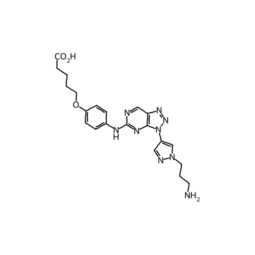 NCCCn1cc(-n2nnc3cnc(Nc4ccc(OCCCCC(=O)O)cc4)nc32)cn1